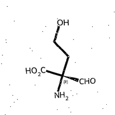 N[C@@](C=O)(CCO)C(=O)O